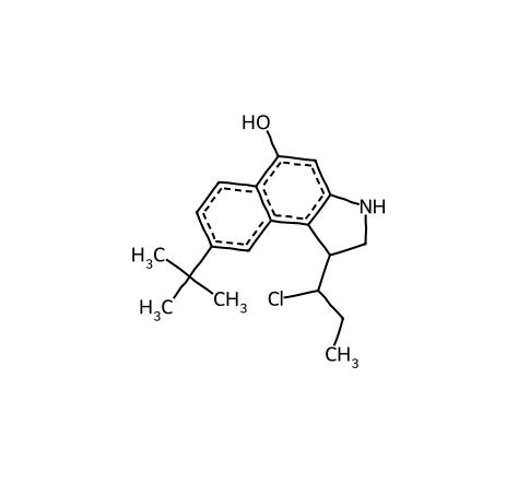 CCC(Cl)C1CNc2cc(O)c3ccc(C(C)(C)C)cc3c21